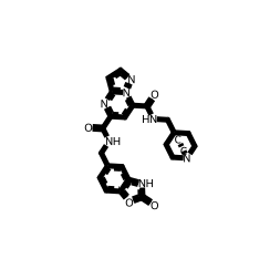 O=C(NCc1ccc2oc(=O)[nH]c2c1)c1cc(C(=O)NCC23CCN(CC2)CC3)n2nccc2n1